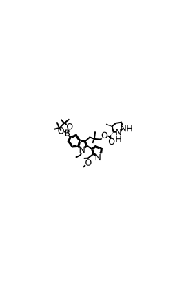 CCn1c(-c2cccnc2C(C)OC)c(CC(C)(C)COC(=O)[C@H]2NNCC[C@@H]2C)c2cc(B3OC(C)(C)C(C)(C)O3)ccc21